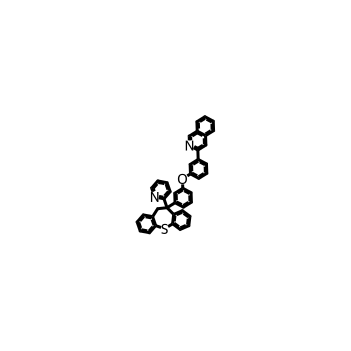 c1ccc(C2(c3cccc(Oc4cccc(-c5cc6ccccc6cn5)c4)c3)Cc3ccccc3Sc3ccccc32)nc1